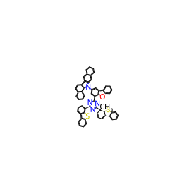 CC1(c2nc(-c3cc(-n4c5cc6ccccc6cc5c5ccc6ccccc6c54)cc4c3oc3ccccc34)nc(-c3cccc4c3sc3ccccc34)n2)C=CC=C2c3ccccc3SC21